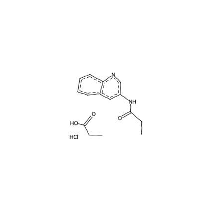 CCC(=O)Nc1cnc2ccccc2c1.CCC(=O)O.Cl